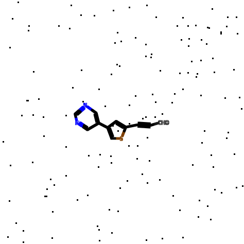 O=CC#Cc1cc(-c2cncnc2)cs1